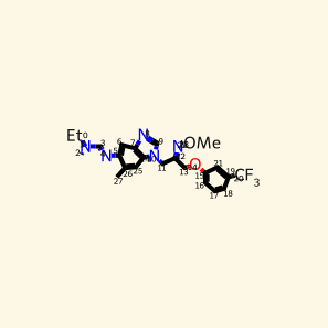 CCN(C)C=Nc1cc2ncn(CC(COc3cccc(C(F)(F)F)c3)=NOC)c2cc1C